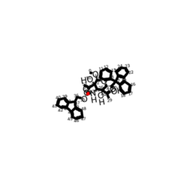 CO[C@H]1O[C@H](C(O)C(c2ccccc2)(c2ccccc2)c2ccccc2)[C@](O)(C(C)=O)[C@@H](NC(=O)OCC2c3ccccc3-c3ccccc32)[C@]1(O)C(C)=O